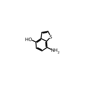 Nc1ccc(O)c2ccsc12